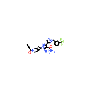 CC#CC(=O)N1CC2C3[C@H](n4nc(-c5cnn(Cc6cccc(C(F)(F)F)c6)c5)c(C(N)=O)c4N)C[C@]23C1